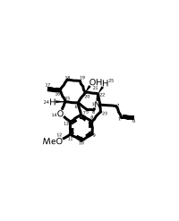 C=CCN1CCC23c4c5ccc(OC)c4O[C@@H]2C(=C)CC[C@]3(O)[C@@H]1C5